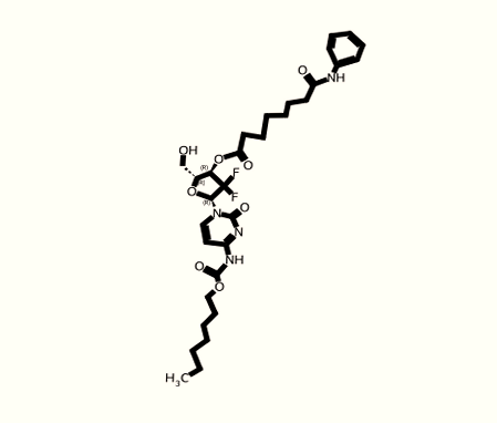 CCCCCCCOC(=O)Nc1ccn([C@@H]2O[C@H](CO)[C@@H](OC(=O)CCCCCCC(=O)Nc3ccccc3)C2(F)F)c(=O)n1